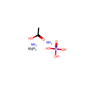 CC(=O)O.N.N.O=P(O)(O)O.[MgH2]